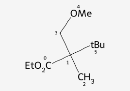 CCOC(=O)C(C)(COC)C(C)(C)C